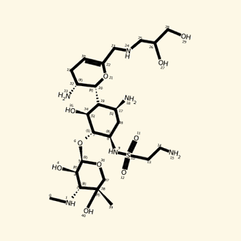 CN[C@@H]1[C@@H](O)[C@@H](O[C@H]2[C@H](NS(=O)(=O)CCN)C[C@H](N)C([C@H]3OC(CNCC(O)CO)=CC[C@H]3N)[C@@H]2O)OC[C@]1(C)O